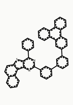 c1ccc(-c2nc(-c3cccc(-c4cccc(-c5ccc6c7ccccc7c7ccccc7c6c5)c4)c3)nc3c2sc2ccc4ccccc4c23)cc1